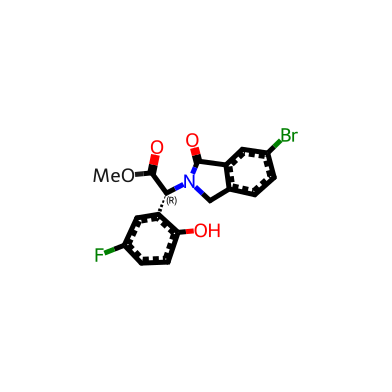 COC(=O)[C@@H](c1cc(F)ccc1O)N1Cc2ccc(Br)cc2C1=O